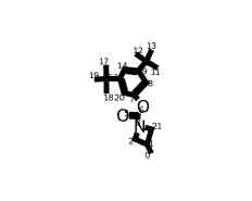 CC1CN(C(=O)Oc2cc(C(C)(C)C)cc(C(C)(C)C)c2)C1